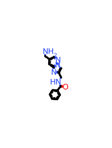 NCc1cnn2cc(CNC(=O)c3ccccc3)nc2c1